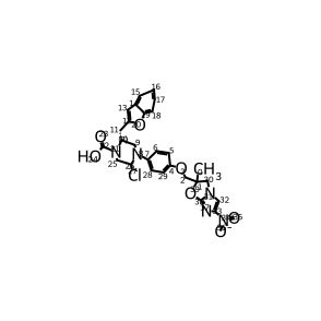 CC1(COc2ccc(N3C[C@@H](Cc4cc5ccccc5o4)N(C(=O)O)CC3Cl)cc2)Cn2cc([N+](=O)[O-])nc2O1